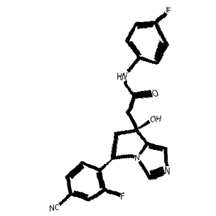 N#Cc1ccc([C@H]2C[C@](O)(CC(=O)Nc3ccc(F)cc3)c3cncn32)c(F)c1